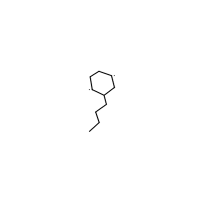 CCCCC1[CH]CC[CH]C1